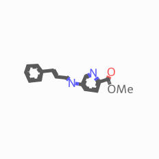 COC(=O)c1ccc(N=CC=Cc2ccccc2)cn1